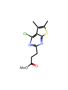 COC(=O)CCc1nc(Cl)c2c(C)c(C)sc2n1